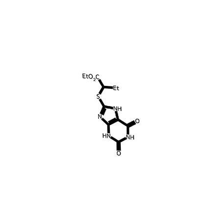 CCOC(=O)C(CC)Sc1nc2[nH]c(=O)[nH]c(=O)c2[nH]1